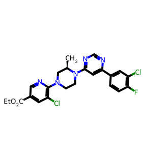 CCOC(=O)c1cnc(N2CCN(c3cc(-c4ccc(F)c(Cl)c4)ncn3)[C@H](C)C2)c(Cl)c1